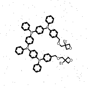 CCC1(COCc2ccc(N(c3ccccc3)c3ccc(N(c4ccccc4)c4ccc(N(c5ccccc5)c5ccc(N(c6ccccc6)c6ccc(COCC7(CC)COC7)cc6)cc5)cc4)cc3)cc2)COC1